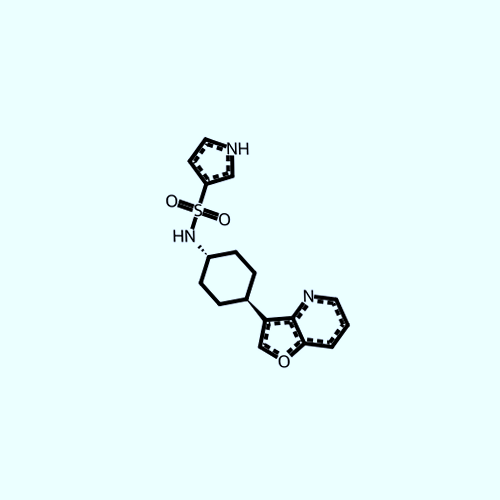 O=S(=O)(N[C@H]1CC[C@H](c2coc3cccnc32)CC1)c1cc[nH]c1